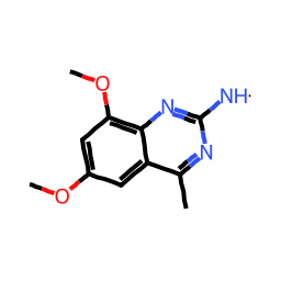 COc1cc(OC)c2nc([NH])nc(C)c2c1